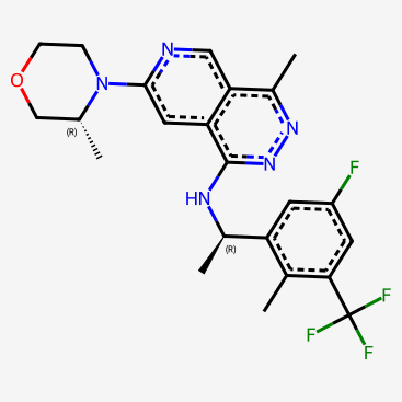 Cc1c([C@@H](C)Nc2nnc(C)c3cnc(N4CCOC[C@H]4C)cc23)cc(F)cc1C(F)(F)F